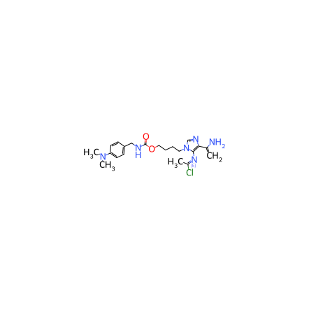 C=C(N)c1ncn(CCCCOC(=O)NCc2ccc(N(C)C)cc2)c1/N=C(\C)Cl